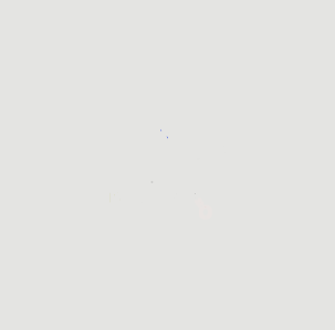 CCN(CC)CC.O=C(c1ccccc1)c1ccc(S)cc1